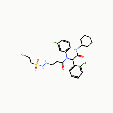 O=C(NC1CCCCC1)C(c1ccccc1Cl)N(C(=O)CCNNS(=O)(=O)CCCl)c1cccc(F)c1